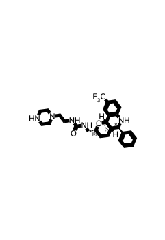 O=C(NCCN1CCNCC1)NC[C@H]1CC[C@@H]2[C@H](O1)c1cc(C(F)(F)F)ccc1N[C@H]2c1ccccc1